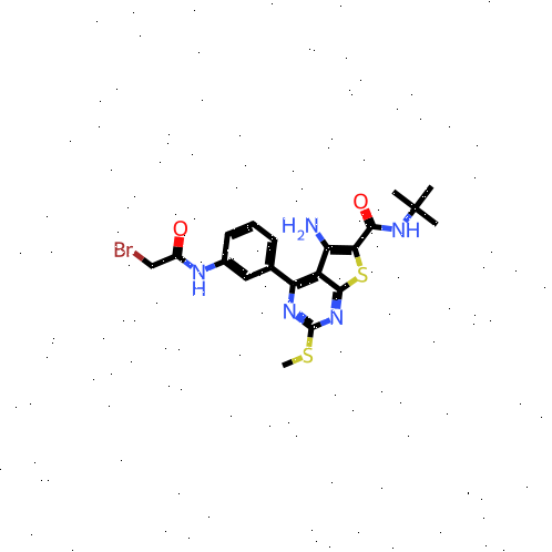 CSc1nc(-c2cccc(NC(=O)CBr)c2)c2c(N)c(C(=O)NC(C)(C)C)sc2n1